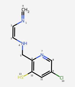 C=N/C=C\NCc1ncc(Cl)cc1S